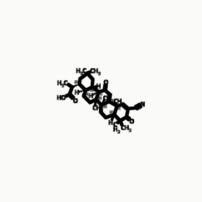 CC(C(=O)O)[C@@H]1CC(C)(C)C[C@H]2[C@H]1CC[C@]1(C)[C@@H]2C(=O)C=C2[C@@]3(C)C=C(C#N)C(=O)C(C)(C)[C@@H]3CC[C@]21C